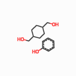 OCC1CCC(CO)CC1.Oc1ccccc1